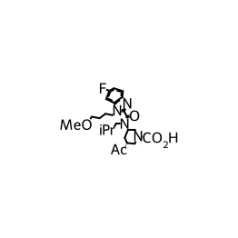 COCCCCn1c(C(=O)N(CC(C)C)[C@H]2C[C@@H](C(C)=O)CN(C(=O)O)C2)nc2ccc(F)cc21